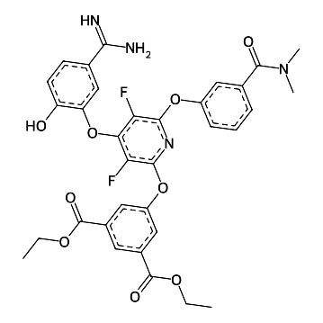 CCOC(=O)c1cc(Oc2nc(Oc3cccc(C(=O)N(C)C)c3)c(F)c(Oc3cc(C(=N)N)ccc3O)c2F)cc(C(=O)OCC)c1